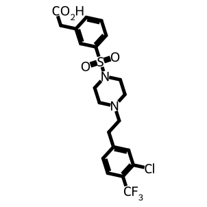 O=C(O)Cc1cccc(S(=O)(=O)N2CCN(CCc3ccc(C(F)(F)F)c(Cl)c3)CC2)c1